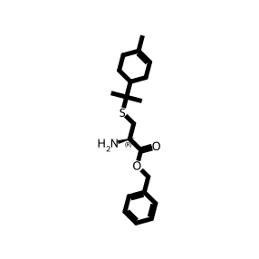 CC1=CCC(C(C)(C)SC[C@H](N)C(=O)OCc2ccccc2)CC1